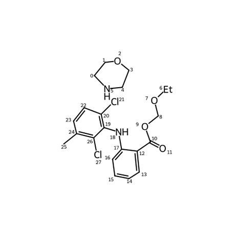 C1COCCN1.CCOCOC(=O)c1ccccc1Nc1c(Cl)ccc(C)c1Cl